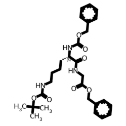 CC(C)(C)OC(=O)NCCCC[C@H](NC(=O)OCc1ccccc1)C(=O)NCC(=O)OCc1ccccc1